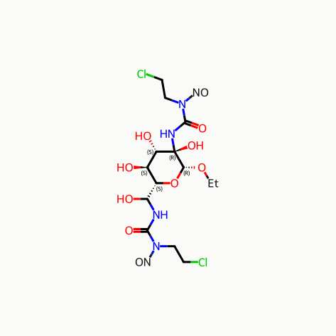 CCO[C@@H]1O[C@H](C(O)NC(=O)N(CCCl)N=O)[C@@H](O)[C@H](O)[C@]1(O)NC(=O)N(CCCl)N=O